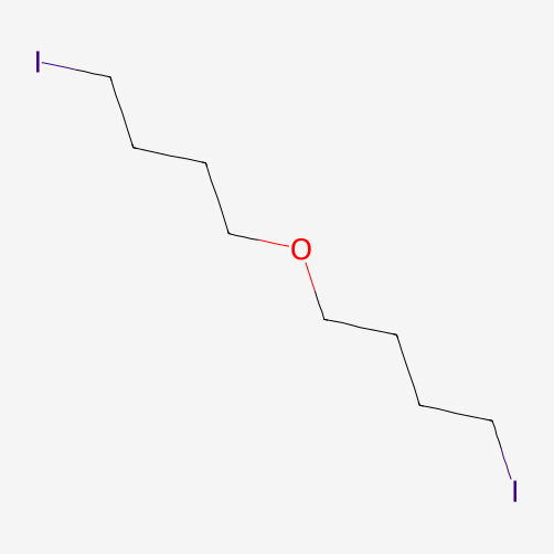 ICCCCOCCCCI